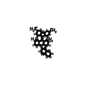 Cc1cc(C)c2c(c1)c1cc(C)cc(C)c1n2B1c2ccccc2-n2c3cnc4ccccc4c3c3cccc1c32